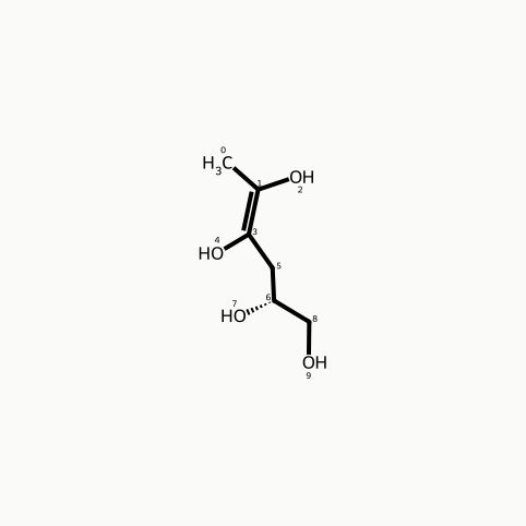 CC(O)=C(O)C[C@@H](O)CO